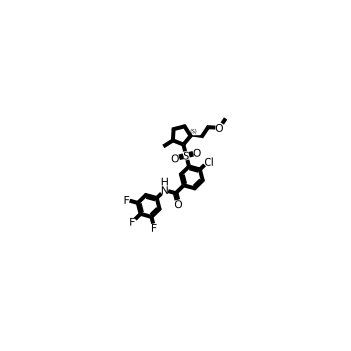 COCC[C@@H]1CCC(C)C1S(=O)(=O)c1cc(C(=O)Nc2cc(F)c(F)c(F)c2)ccc1Cl